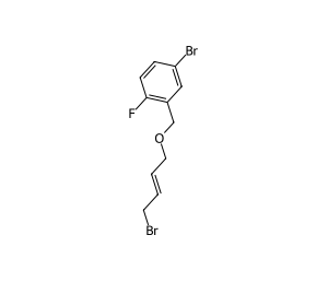 Fc1ccc(Br)cc1COCC=CCBr